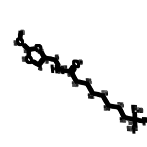 COC1OCC(CNC(=O)CCCCCCCC(F)(F)F)O1